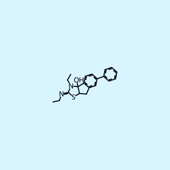 CC/N=C1\SC2Cc3cc(-c4ccccc4)ccc3C2(O)N1CC